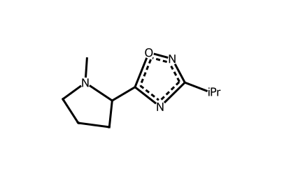 CC(C)c1noc(C2CCCN2C)n1